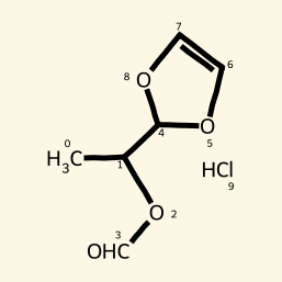 CC(OC=O)C1OC=CO1.Cl